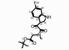 CN(CC(=O)OC(C)(C)C)C(=O)C(=O)C1CNc2cc(F)ccc21